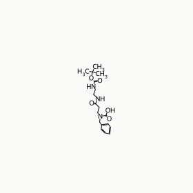 CC(C)(C)OC(=O)NCCNC(=O)CCN(Cc1ccccc1)C(=O)O